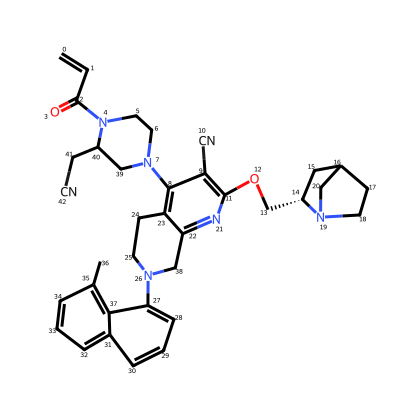 C=CC(=O)N1CCN(c2c(C#N)c(OC[C@@H]3CC4CCN3C4)nc3c2CCN(c2cccc4cccc(C)c24)C3)CC1CC#N